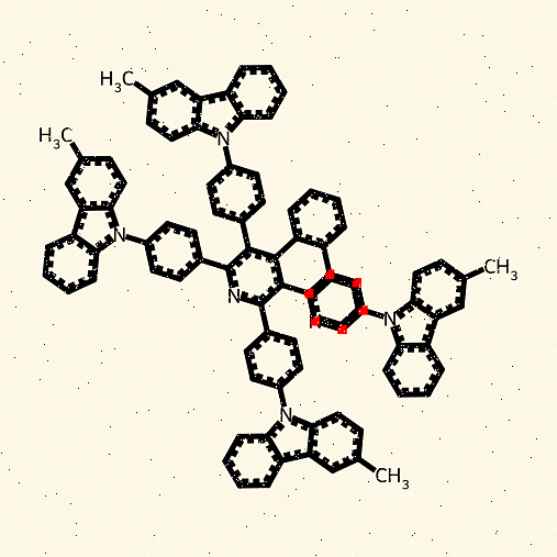 Cc1ccc2c(c1)c1ccccc1n2-c1ccc(-c2nc(-c3ccc(-n4c5ccccc5c5cc(C)ccc54)cc3)c(-c3ccc(-n4c5ccccc5c5cc(C)ccc54)cc3)c(-c3ccccc3-c3cccnc3)c2-c2ccc(-n3c4ccccc4c4cc(C)ccc43)cc2)cc1